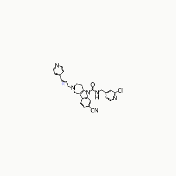 N#Cc1ccc2c3c(n(C(=O)NCc4ccnc(Cl)c4)c2c1)CCN(C/C=C/c1ccncc1)C3